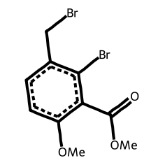 COC(=O)c1c(OC)ccc(CBr)c1Br